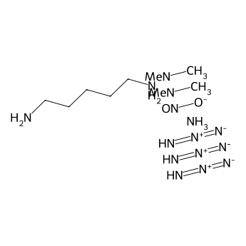 CNC.CNC.N.NCCCCCN.O=[NH+][O-].[N-]=[N+]=N.[N-]=[N+]=N.[N-]=[N+]=N